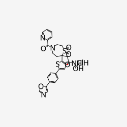 Cl.O=C(CC1(c2ccc(-c3ccc(-c4cnco4)cc3)s2)CCN(C(=O)c2ccccn2)CCS1(=O)=O)NO